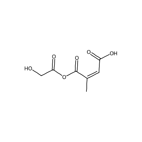 CC(=CC(=O)O)C(=O)OC(=O)CO